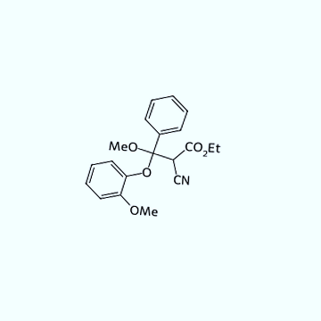 CCOC(=O)C(C#N)C(OC)(Oc1ccccc1OC)c1ccccc1